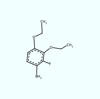 Bc1ccc(OCC)c(OCC)c1F